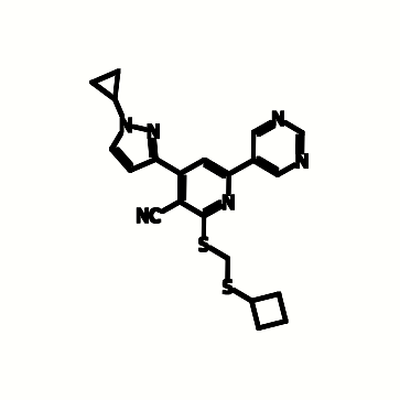 N#Cc1c(-c2ccn(C3CC3)n2)cc(-c2cncnc2)nc1SCSC1CCC1